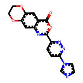 O=c1oc(-c2ccc(-n3ccnc3)nn2)nc2cc3c(cc12)OCCO3